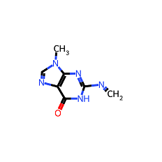 C=Nc1nc2c(ncn2C)c(=O)[nH]1